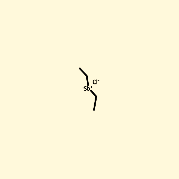 C[CH2][Sb+][CH2]C.[Cl-]